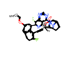 COCOc1cc(-c2ncc3c(N4CC5CCC(C4)N5C(=O)OC(C)(C)C)ncnc3c2F)c2c(C#C[Si](C(C)C)(C(C)C)C(C)C)c(F)ccc2c1